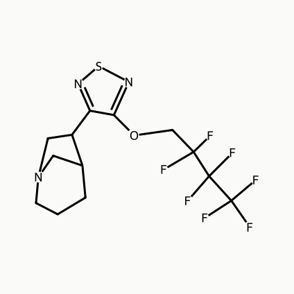 FC(F)(F)C(F)(F)C(F)(F)COc1nsnc1C1CN2CCCC1C2